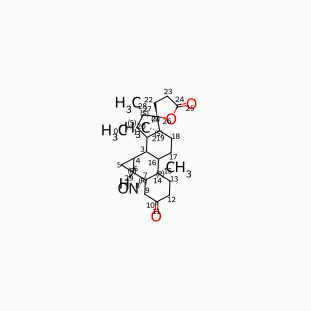 C[C@H]1C2C3C4C[C@H]4[C@]4(N=O)CC(=O)CC[C@]4(C)C3CC[C@]2(C)[C@]2(CCC(=O)O2)[C@H]1C